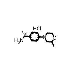 CC1CN(c2ccc([C@@H](C)N)cc2)CCO1.Cl